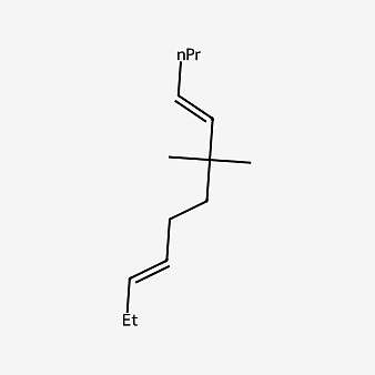 CCC=CCCC(C)(C)C=CCCC